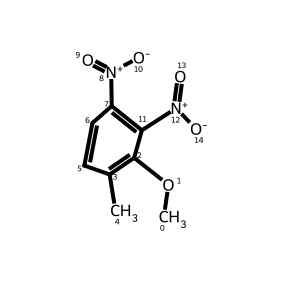 COc1c(C)ccc([N+](=O)[O-])c1[N+](=O)[O-]